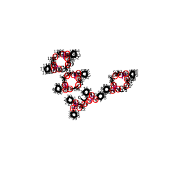 CC(COP(Oc1ccccc1)Oc1ccccc1)OC(C)(C)OP(Oc1ccccc1)Oc1ccccc1.CC1COP(Oc2ccccc2)OCC(C)OC(C)(C)OP(Oc2ccccc2)OC(C)(C)O1.CC1COP(Oc2ccccc2)OCC(C)OC(C)(C)OP(Oc2ccccc2)OC(C)(C)O1.CC1COP(Oc2ccccc2)OCC(C)OC(C)(C)OP(Oc2ccccc2)OC(C)(C)O1